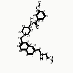 COCCNCc1ccc2ccc(CN3CCC(NC(=O)c4cccc(OC)c4)CC3)cc2c1